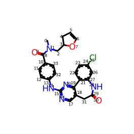 CN(CC1CC=CO1)C(=O)c1ccc(Nc2ncc3c(n2)-c2ccc(Cl)cc2NC(=O)C3)cc1